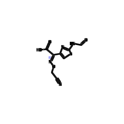 N#CCO/N=C(/C(=O)O)c1csc(NC=O)n1